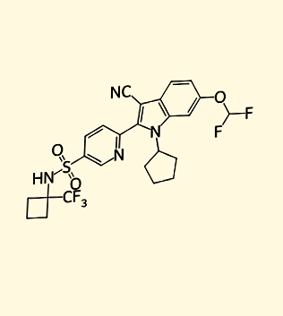 N#Cc1c(-c2ccc(S(=O)(=O)NC3(C(F)(F)F)CCC3)cn2)n(C2CCCC2)c2cc(OC(F)F)ccc12